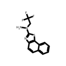 NN(CC(F)(F)F)c1nc2ccc3ccccc3c2s1